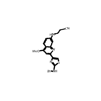 COc1cc(-c2csc(NC(C)C)n2)nc2cc(NCCC#N)ccc12